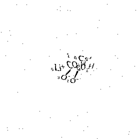 O=C([O-])O.O=C([O-])O.[Cs+].[Li+]